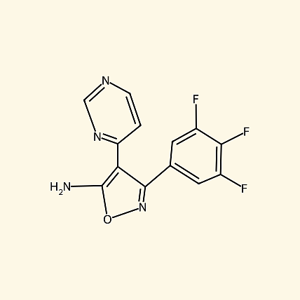 Nc1onc(-c2cc(F)c(F)c(F)c2)c1-c1ccncn1